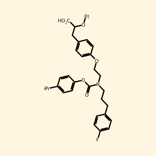 CCOC(Cc1ccc(OCCN(CCCc2ccc(F)cc2)C(=O)Oc2ccc(C(C)C)cc2)cc1)C(=O)O